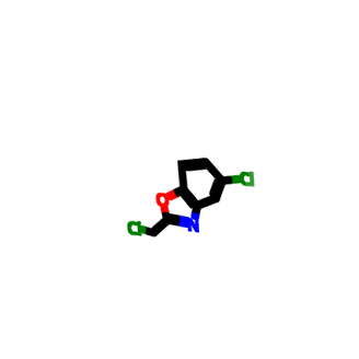 ClCc1nc2cc(Cl)ccc2o1